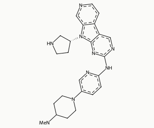 CNC1CCN(c2ccc(Nc3ncc4c5ccncc5n([C@@H]5CCNC5)c4n3)nc2)CC1